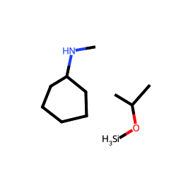 CC(C)O[SiH3].CNC1CCCCC1